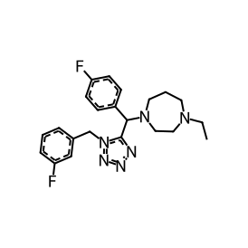 CCN1CCCN(C(c2ccc(F)cc2)c2nnnn2Cc2cccc(F)c2)CC1